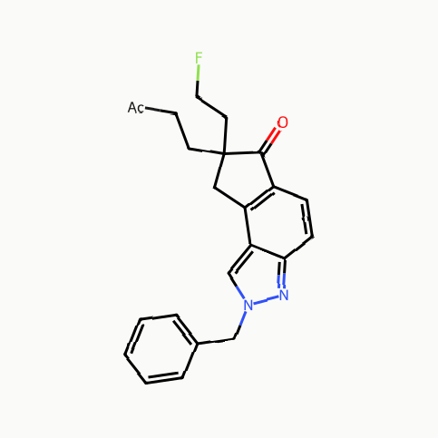 CC(=O)CCC1(CCF)Cc2c(ccc3nn(Cc4ccccc4)cc23)C1=O